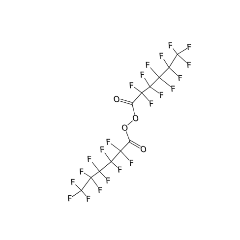 O=C(OOC(=O)C(F)(F)C(F)(F)C(F)(F)C(F)(F)C(F)(F)F)C(F)(F)C(F)(F)C(F)(F)C(F)(F)C(F)(F)F